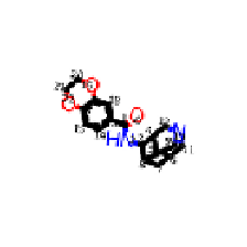 O=C(NC1C2CC3CC1CN(C3)C2)c1ccc2c(c1)OCCO2